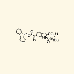 CC(C)(C)OC(=O)NC(Cc1ccc(NC(=O)OCC2c3ccccc3-c3ccccc32)cc1)C(=O)O